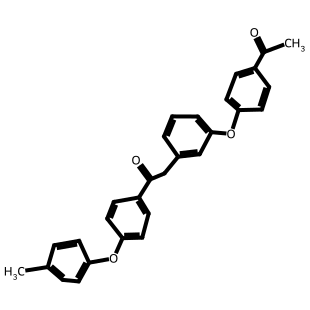 CC(=O)c1ccc(Oc2cccc(CC(=O)c3ccc(Oc4ccc(C)cc4)cc3)c2)cc1